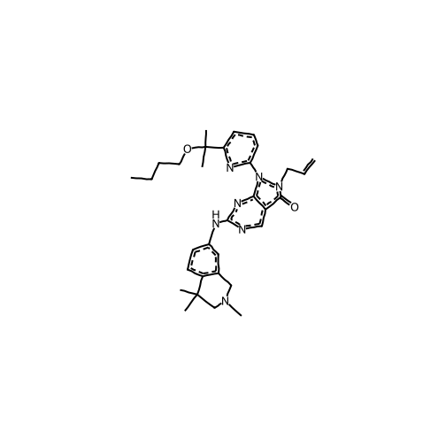 C=CCn1c(=O)c2cnc(Nc3ccc4c(c3)CN(C)CC4(C)C)nc2n1-c1cccc(C(C)(C)OCCCC)n1